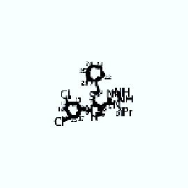 CC(C)N1NNN=C1c1cnn(-c2cc(Cl)cc(Cl)c2)c1SCc1ccccc1